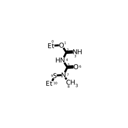 CCOC(=N)NC(=O)N(C)SCC